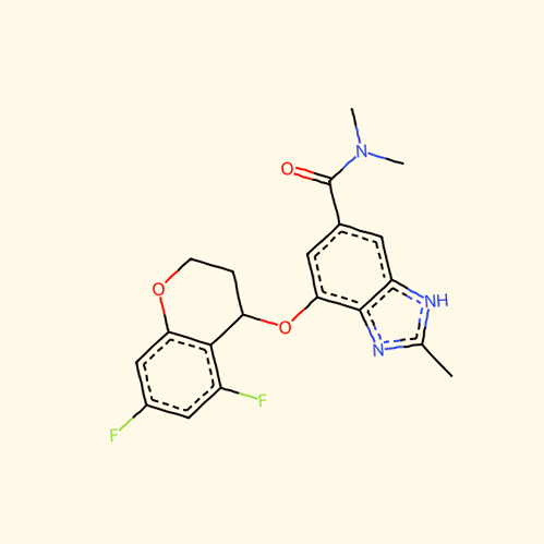 Cc1nc2c(OC3CCOc4cc(F)cc(F)c43)cc(C(=O)N(C)C)cc2[nH]1